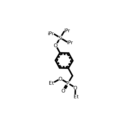 CCOP(=O)(Cc1ccc(O[Si](C(C)C)(C(C)C)C(C)C)cc1)OCC